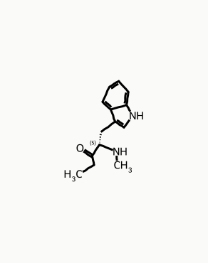 CCC(=O)[C@H](Cc1c[nH]c2ccccc12)NC